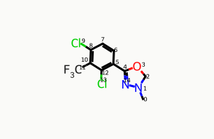 CN1COC(c2ccc(Cl)c(C(F)(F)F)c2Cl)=N1